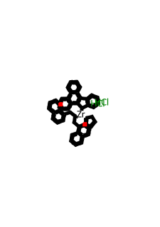 C1=CC[C]([Zr](=[C](Cc2cccc3ccccc23)Cc2cccc3ccccc23)[CH]2c3ccccc3-c3c2c2ccccc2c2ccccc32)=C1.Cl.Cl